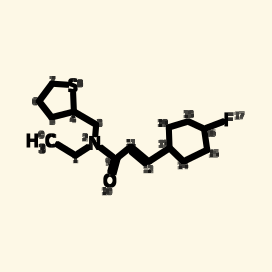 CCN(CC1CCCS1)C(=O)/C=C/C1CCC(F)CC1